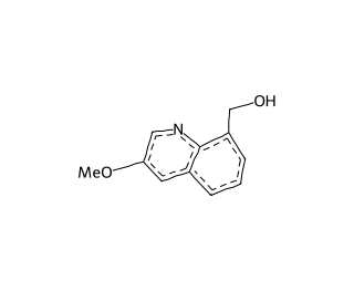 COc1cnc2c(CO)cccc2c1